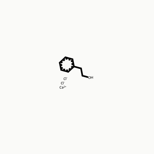 OCCc1ccccc1.[Ca+2].[Cl-].[Cl-]